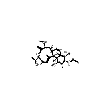 C=C1O[C@H](C(C)O)[C@H](C)/C=C(\C)[C@]23O[C@@H]4[C@H](C=C[C@@H]2C[C@@H]1OC)[C@H]3[C@H](O)[C@@H](C)[C@@H]4NCC